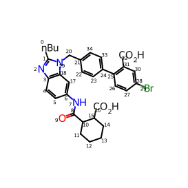 CCCCc1nc2ccc(NC(=O)C3CCCCC3C(=O)O)cc2n1Cc1ccc(-c2ccc(Br)cc2C(=O)O)cc1